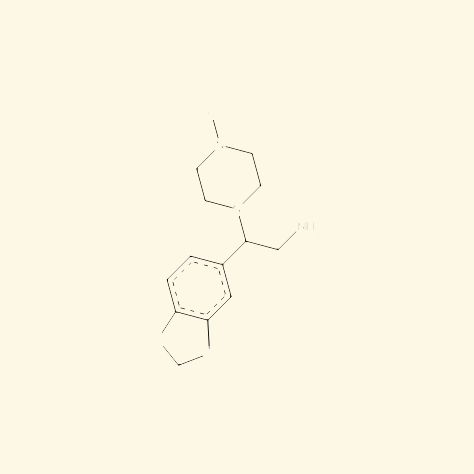 CN1CCN(C(CN)c2ccc3c(c2)OCO3)CC1